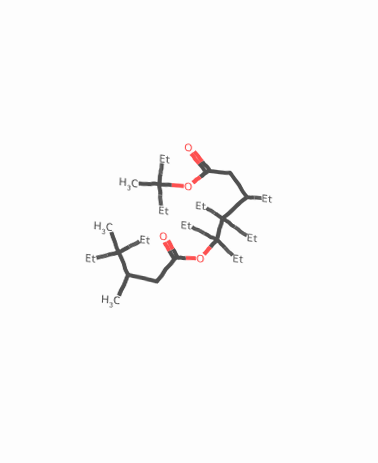 CCC(CC(=O)OC(C)(CC)CC)C(CC)(CC)C(CC)(CC)OC(=O)CC(C)C(C)(CC)CC